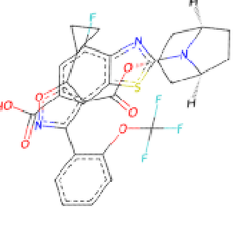 O=C(O)c1cc(F)c2nc(N3[C@@H]4CC[C@H]3C[C@H](OC(=O)c3c(-c5ccccc5OC(F)(F)F)noc3C3CC3)C4)sc2c1